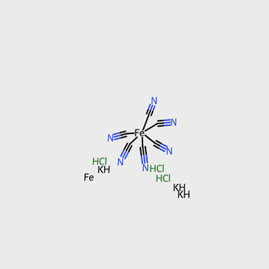 Cl.Cl.Cl.N#[C][Fe]([C]#N)([C]#N)([C]#N)([C]#N)[C]#N.[Fe].[KH].[KH].[KH]